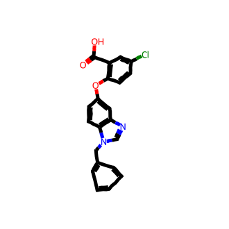 O=C(O)c1cc(Cl)ccc1Oc1ccc2c(c1)ncn2Cc1ccccc1